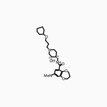 CNc1cc2c(c(C(=O)NC[C@@H]3CCN(CCCOC4CCCCC4)C[C@H]3O)c1)OCCCO2